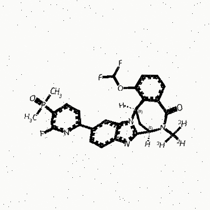 [2H]C([2H])([2H])N1C(=O)c2cccc(OC(F)F)c2[C@H]2C[C@@H]1c1nc3ccc(-c4ccc(P(C)(C)=O)c(F)n4)cc3n12